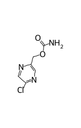 NC(=O)OCc1cnc(Cl)cn1